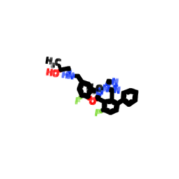 C[C@H](O)CNCc1cc(F)c2oc(-c3c(F)ccc(-c4ccccc4)c3-c3nncn3C)nc2c1